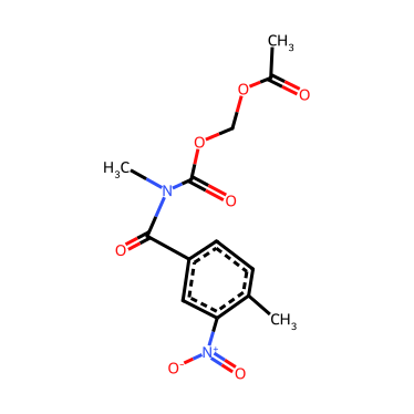 CC(=O)OCOC(=O)N(C)C(=O)c1ccc(C)c([N+](=O)[O-])c1